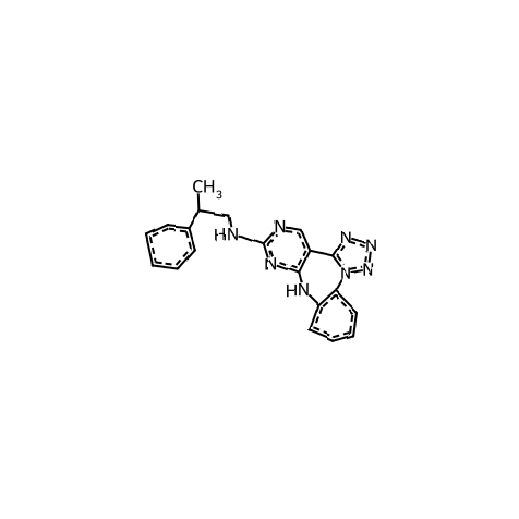 CC(CNc1ncc2c(n1)Nc1ccccc1-n1nnnc1-2)c1ccccc1